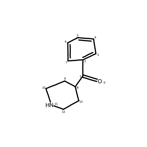 O=C(c1cc[c]cc1)C1CCNCC1